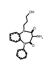 NC1C(=O)N(CCCO)c2ccccc2N(c2ccccc2)C1=O